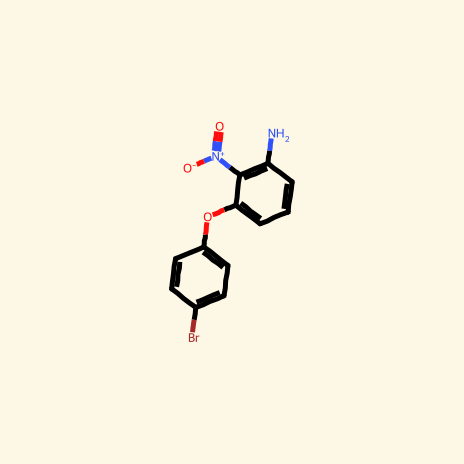 Nc1cccc(Oc2ccc(Br)cc2)c1[N+](=O)[O-]